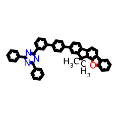 CC1(C)c2cc(-c3ccc(-c4cccc(-c5nc(-c6ccccc6)nc(-c6ccccc6)n5)c4)cc3)ccc2-c2ccc3c(oc4ccccc43)c21